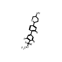 CCCC1CCC(c2ccc(-c3cc(F)c(C(F)(F)OC(F)(F)F)c(F)c3)c(F)c2)OC1